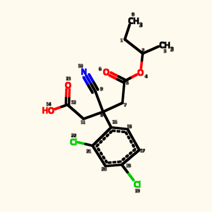 CCC(C)OC(=O)CC(C#N)(CC(=O)O)c1ccc(Cl)cc1Cl